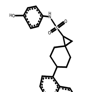 O=S(=O)(Nc1ccc(O)cc1)C1CC12CCC(c1ccnc3ccc(F)cc13)CC2